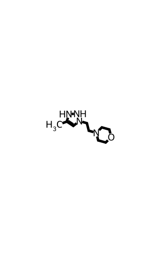 CC1=CN(CCN2CCOCC2)NN1